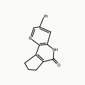 CC(C)c1cnc2c3c(c(=O)[nH]c2c1)CCC3